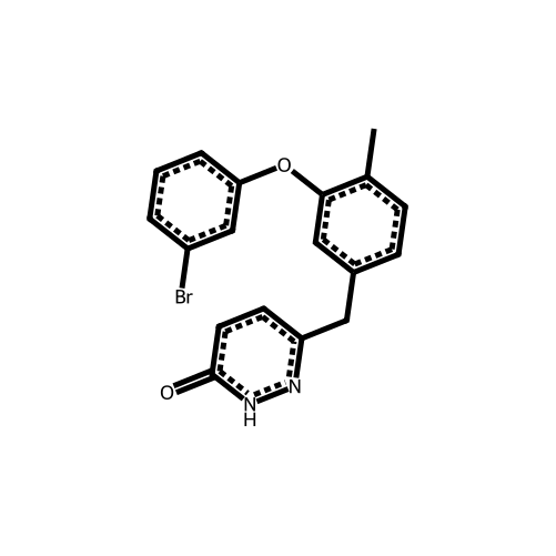 Cc1ccc(Cc2ccc(=O)[nH]n2)cc1Oc1cccc(Br)c1